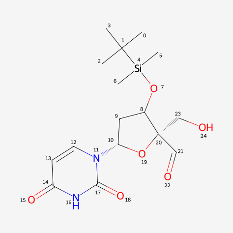 CC(C)(C)[Si](C)(C)OC1C[C@@H](n2ccc(=O)[nH]c2=O)O[C@@]1(C=O)CO